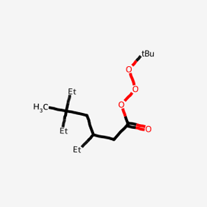 CCC(CC(=O)OOOC(C)(C)C)CC(C)(CC)CC